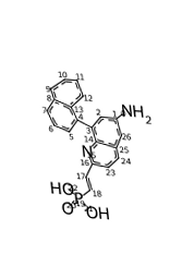 Nc1cc(-c2cccc3ccccc23)c2nc(/C=C/P(=O)(O)O)ccc2c1